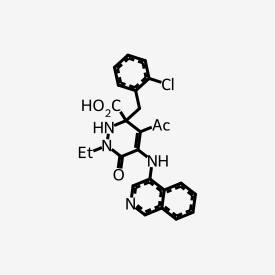 CCN1NC(Cc2ccccc2Cl)(C(=O)O)C(C(C)=O)=C(Nc2cncc3ccccc23)C1=O